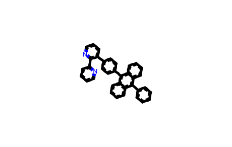 c1ccc(-c2c3ccccc3c(-c3ccc(-c4cccnc4-c4ccccn4)cc3)c3ccccc23)cc1